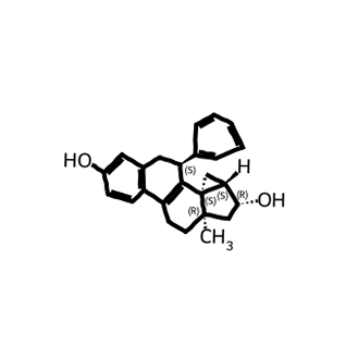 C[C@]12CCC3=C([C@H](c4ccccc4)Cc4cc(O)ccc43)[C@]13C[C@@H]3[C@H](O)C2